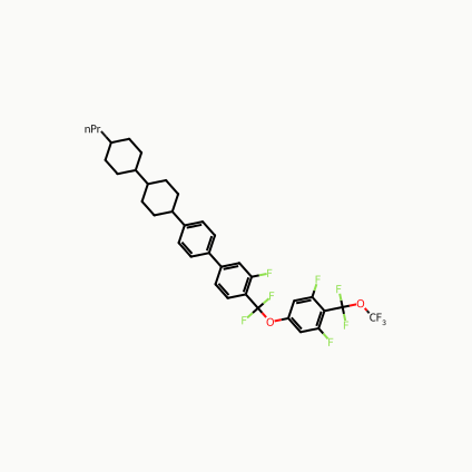 CCCC1CCC(C2CCC(c3ccc(-c4ccc(C(F)(F)Oc5cc(F)c(C(F)(F)OC(F)(F)F)c(F)c5)c(F)c4)cc3)CC2)CC1